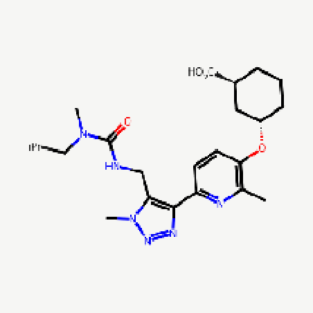 Cc1nc(-c2nnn(C)c2CNC(=O)N(C)CC(C)C)ccc1O[C@H]1CCC[C@H](C(=O)O)C1